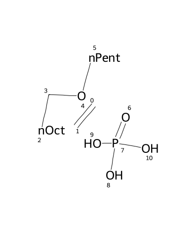 C=C.CCCCCCCCCOCCCCC.O=P(O)(O)O